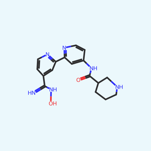 N=C(NO)c1ccnc(-c2cc(NC(=O)C3CCCNC3)ccn2)c1